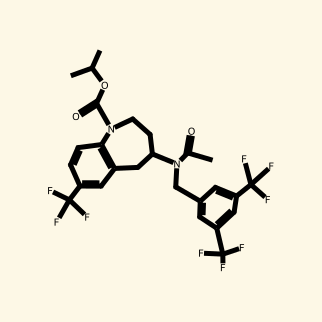 CC(=O)N(Cc1cc(C(F)(F)F)cc(C(F)(F)F)c1)C1CCN(C(=O)OC(C)C)c2ccc(C(F)(F)F)cc2C1